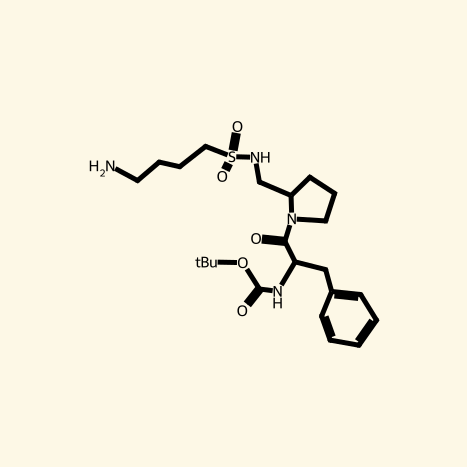 CC(C)(C)OC(=O)NC(Cc1ccccc1)C(=O)N1CCCC1CNS(=O)(=O)CCCCN